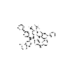 Cc1cc(-c2ccccc2)ccc1N1c2cc3c(cc2B2c4c(cc5sc6ccccc6c5c41)-c1cc4c(cc1N2c1ccc(-c2ccccc2)cc1)C(C)(C)CCC4(C)C)C(C)(C)CCC3(C)C